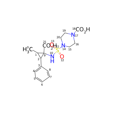 CC1C(c2ccccc2)C1(NS(=O)(=O)N1CCN(C(=O)O)CC1)C(=O)O